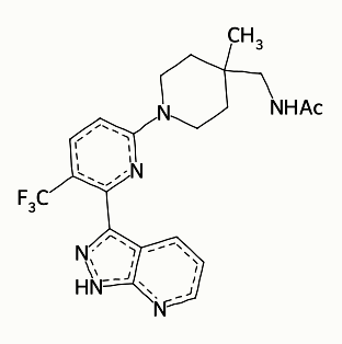 CC(=O)NCC1(C)CCN(c2ccc(C(F)(F)F)c(-c3n[nH]c4ncccc34)n2)CC1